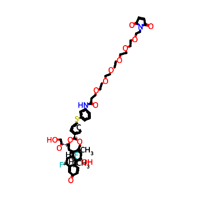 C[C@@]12CO[C@H](c3ccc(Sc4cccc(NC(=O)CCOCCOCCOCCOCCOCCOCCN5C(=O)C=CC5=O)c4)cc3)O[C@@H](C(=O)CO)C[C@H]1[C@@H]1C[C@H](F)C3=CC(=O)C=C[C@]3(C)[C@@]1(F)[C@@H](O)C2